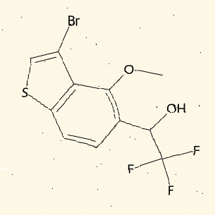 COc1c(C(O)C(F)(F)F)ccc2scc(Br)c12